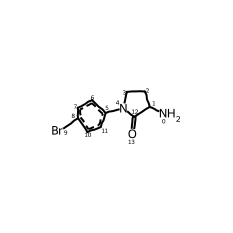 NC1CCN(c2ccc(Br)cc2)C1=O